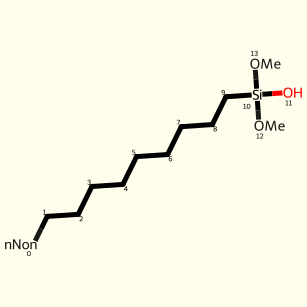 CCCCCCCCCCCCCCCCCC[Si](O)(OC)OC